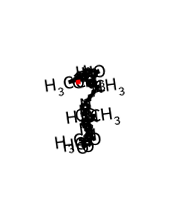 CC#C[C@]1(O)CC[C@H]2[C@@H]3CCC4=CC(=O)CCC4=C3[C@@H](c3ccc(N(C)CCCCCCN4CCN(C(=O)Oc5ccc6nc7c(cc6c5CN(C)C)Cn5c-7cc6c(c5=O)COC(=O)[C@]6(O)CC)CC4)cc3)C[C@@]21C